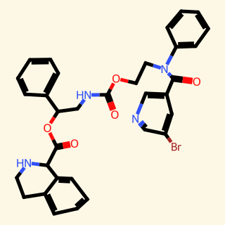 O=C(NCC(OC(=O)C1NCCc2ccccc21)c1ccccc1)OCCN(C(=O)c1cncc(Br)c1)c1ccccc1